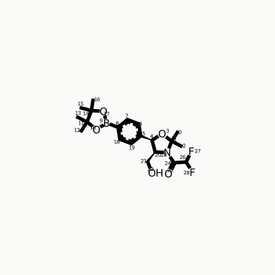 CC1(C)O[C@H](c2ccc(B3OC(C)(C)C(C)(C)O3)cc2)[C@H](CO)N1C(=O)C(F)F